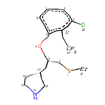 CCSC[C@@H](Oc1cccc(Cl)c1C(F)(F)F)[C@H]1CCNC1